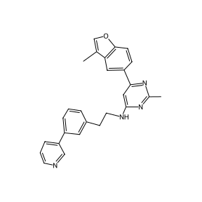 Cc1nc(NCCc2cccc(-c3cccnc3)c2)cc(-c2ccc3occ(C)c3c2)n1